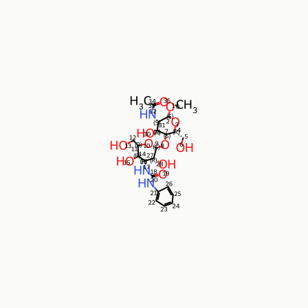 CO[C@H]1O[C@H](CO)[C@@H](O[C@@H]2O[C@H](CO)[C@H](O)[C@@H](NC(=O)Nc3ccccc3)[C@H]2O)[C@H](O)[C@@H]1NC(C)=O